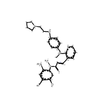 CCc1cc(N)c(N(P)C(=O)/C=C/c2cccnc2N(C)c2ccc(OCCN3CCCC3)cc2)cc1Cl